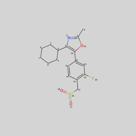 Cc1nc(C2CCCCC2)c(-c2ccc(C[SH](=O)=O)c(F)c2)o1